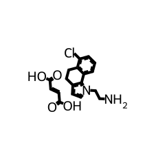 NCCn1ccc2c1-c1cccc(Cl)c1CC2.O=C(O)C=CC(=O)O